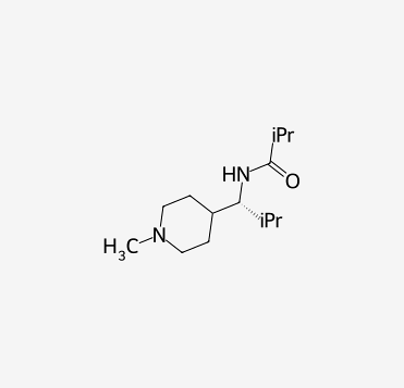 CC(C)C(=O)N[C@H](C(C)C)C1CCN(C)CC1